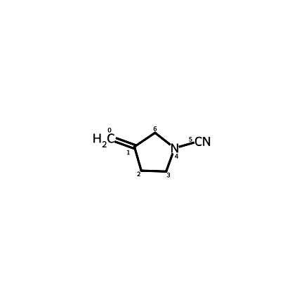 C=C1CCN(C#N)C1